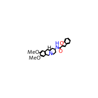 COc1cc2c(cc1OC)CN1CC[C@H](NC(=O)c3cc4ccccc4o3)C[C@@H]1C2